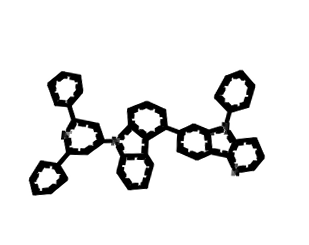 c1ccc(-c2cc(-n3c4ccccc4c4c(-c5ccc6c7ncccc7n(-c7ccccc7)c6c5)cccc43)cc(-c3ccccc3)n2)cc1